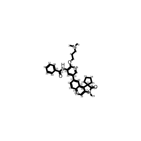 CN(C)CCCOc1ncc(-c2ccc3ncc4c(c3c2)C2(CCCC2)C(=O)N4C)cc1NC(=O)c1ccccc1